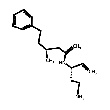 C=C[C@H](CCN)NC(=C)C[C@@H](C)CCc1ccccc1